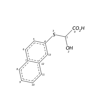 O=C(O)C(O)Sc1ccc2ccccc2c1